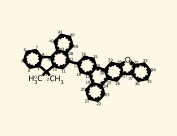 CC1(C)c2ccccc2-c2c1cc(-c1ccc3c(c1)c1ccccc1c1cc4c(cc31)oc1ccccc14)c1ccccc21